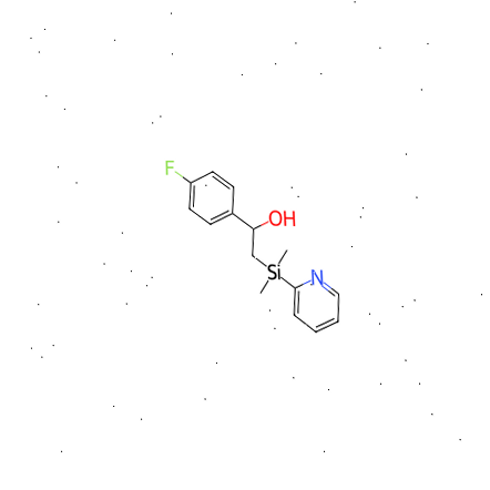 C[Si](C)(CC(O)c1ccc(F)cc1)c1ccccn1